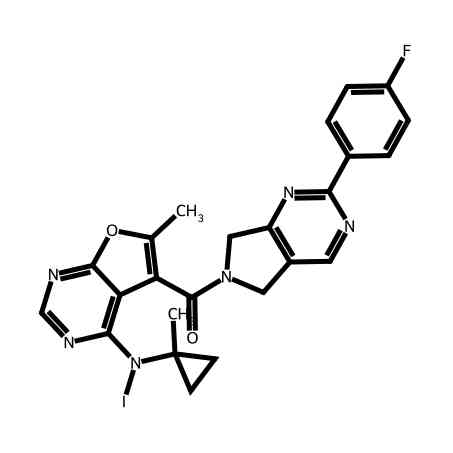 Cc1oc2ncnc(N(I)C3(C)CC3)c2c1C(=O)N1Cc2cnc(-c3ccc(F)cc3)nc2C1